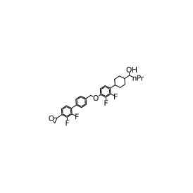 CCCC(O)C1CCC(c2ccc(OCc3ccc(-c4ccc(C5CO5)c(F)c4F)cc3)c(F)c2F)CC1